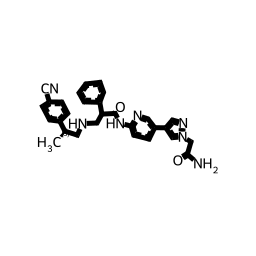 C[C@H](CNCC(C(=O)Nc1ccc(-c2cnn(CC(N)=O)c2)cn1)c1ccccc1)c1ccc(C#N)cc1